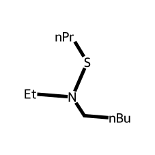 CCCCCN(CC)SCCC